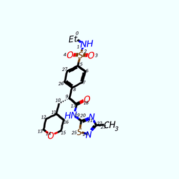 CCNS(=O)(=O)c1ccc([C@@H](CC2CCOCC2)C(=O)Nc2nc(C)ns2)cc1